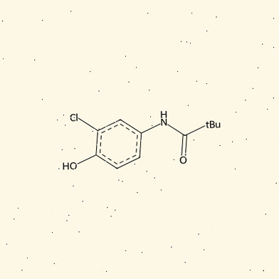 CC(C)(C)C(=O)Nc1ccc(O)c(Cl)c1